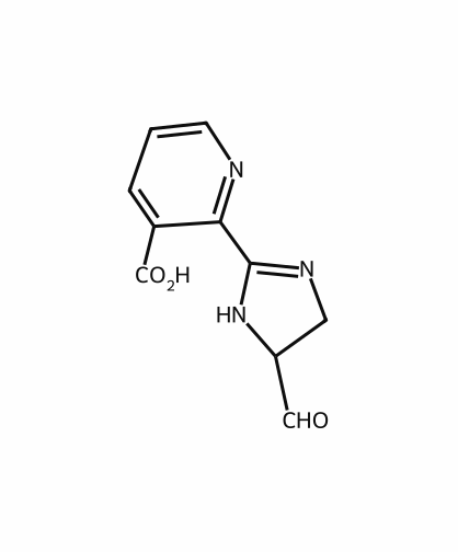 O=CC1CN=C(c2ncccc2C(=O)O)N1